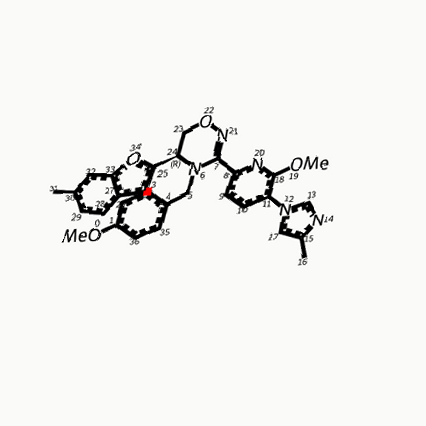 COc1ccc(CN2C(c3ccc(-n4cnc(C)c4)c(OC)n3)=NOC[C@@H]2c2cc3ccc(C)cc3o2)cc1